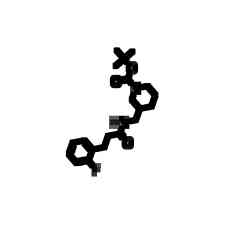 CC(C)(C)OC(=O)N1CCCC(CNC(=O)CCc2ccccc2F)C1